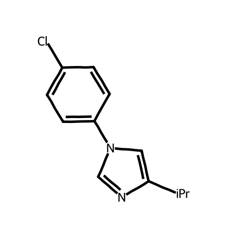 CC(C)c1cn(-c2ccc(Cl)cc2)cn1